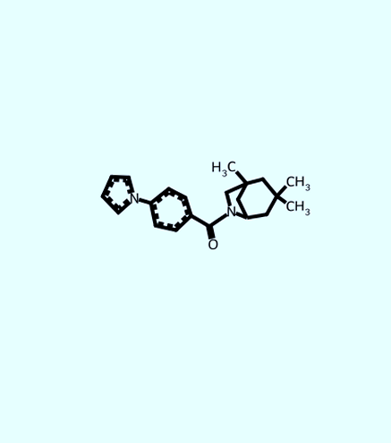 CC1(C)CC2CC(C)(CN2C(=O)c2ccc(-n3cccc3)cc2)C1